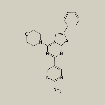 Nc1ncc(-c2nc(N3CCOCC3)c3cc(-c4ccccc4)sc3n2)cn1